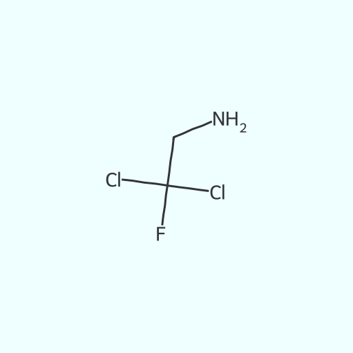 NCC(F)(Cl)Cl